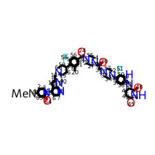 CNc1ccn(-c2ccnc3c2cc(CN2CCC(c4c(C)cc(C(=O)N5CCN(C(=O)CN6CCN(c7ccc(NC8CCC(=O)NC8=O)cc7F)CC6)CC5)cc4F)CC2)n3C)c(=O)c1